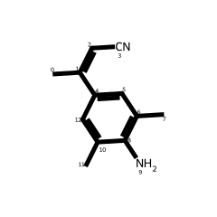 C/C(=C/C#N)c1cc(C)c(N)c(C)c1